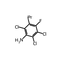 CC(C)c1c(F)c(Cl)c(Cl)c(N)c1Cl